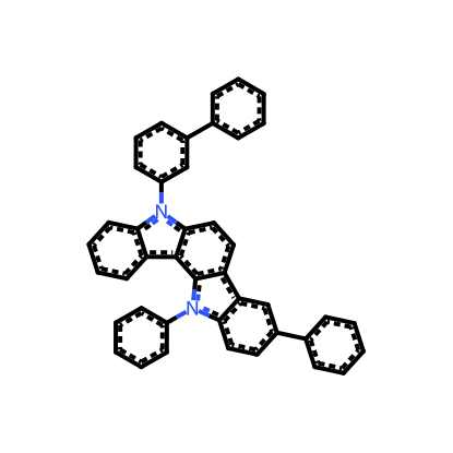 c1ccc(-c2cccc(-n3c4ccccc4c4c3ccc3c5cc(-c6ccccc6)ccc5n(-c5ccccc5)c34)c2)cc1